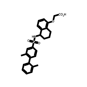 Cc1ccccc1-c1ccc(S(=O)(=O)NC2CCCc3c(OCC(=O)O)cccc32)cc1C